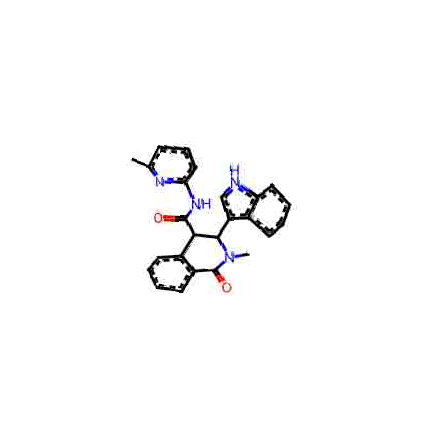 Cc1cccc(NC(=O)C2c3ccccc3C(=O)N(C)C2c2c[nH]c3ccccc23)n1